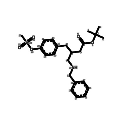 CC(C)(C)OC(=O)CC(CNCc1ccccc1)Cc1ccc(OS(C)(=O)=O)cc1